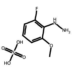 COc1cccc(F)c1NN.O=S(=O)(O)O